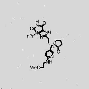 CCCn1c(=O)[nH]c(=O)c2[nH]c(CC[C@@H](c3ccc(NCCOC)nc3)N3CCCC3=O)nc21